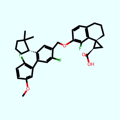 COc1ccc(F)c(-c2cc(F)c(COc3ccc4c(c3F)[C@]3(CCC4)C[C@H]3C(=O)O)cc2[C@@H]2CCCC2(C)C)c1